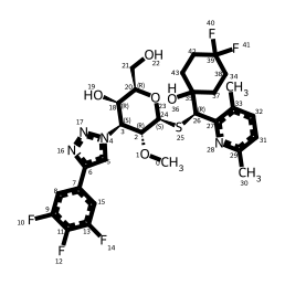 CO[C@@H]1[C@@H](n2cc(-c3cc(F)c(F)c(F)c3)nn2)[C@@H](O)[C@@H](CO)O[C@H]1S[C@H](c1nc(C)ccc1C)C1(O)CCC(F)(F)CC1